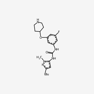 Cn1nc(C(C)(C)C)cc1NC(=O)Nc1cc(F)cc(OC2CCNCC2)c1